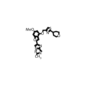 COc1cc(OCc2csc(C3CCOCC3)n2)c2cc(-c3cn4nc(C)ncc4n3)oc2c1